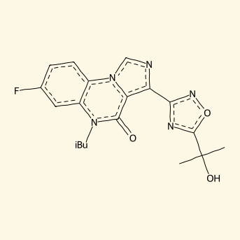 CCC(C)n1c(=O)c2c(-c3noc(C(C)(C)O)n3)ncn2c2ccc(F)cc21